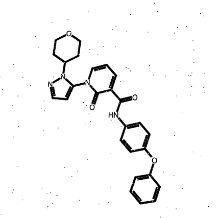 O=C(Nc1ccc(Oc2ccccc2)cc1)c1cccn(-c2ccnn2C2CCOCC2)c1=O